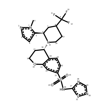 Cn1nccc1[C@H]1CC(C(F)(F)F)CCN1[C@H]1CCOc2cc(S(=O)(=O)Nc3ncns3)ccc21